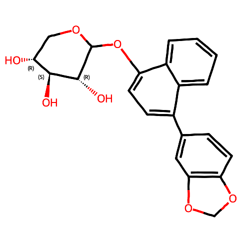 O[C@H]1[C@H](O)COC(Oc2ccc(-c3ccc4c(c3)OCO4)c3ccccc23)[C@@H]1O